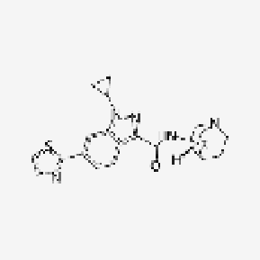 O=C(N[C@@H]1CN2CCC1CC2)c1nn(C2CC2)c2cc(-c3nccs3)ccc12